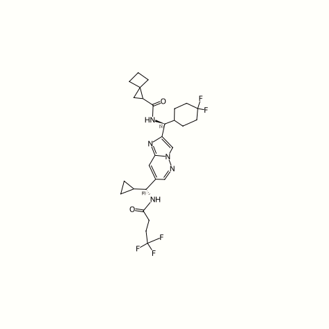 O=C(CCC(F)(F)F)N[C@@H](c1cnn2cc([C@@H](NC(=O)C3CC34CCC4)C3CCC(F)(F)CC3)nc2c1)C1CC1